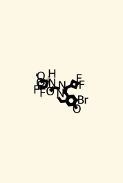 COC(=O)[C@](C)(CC(F)(F)F)NC(=O)c1nc(C2CC(F)(F)C2)c2n1CCc1cc(OC)c(Br)cc1-2